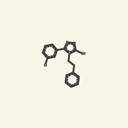 Sc1nnc(-c2cccc(Cl)c2)n1CCc1ccccc1